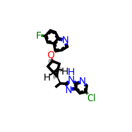 CC(c1nc2cc(Cl)cnc2[nH]1)[C@H]1[C@@H]2C[C@@H](Oc3ccnc4ccc(F)cc34)C[C@@H]21